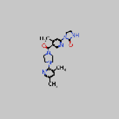 Cc1cnc(N2CCN(C(=O)c3cnc(N4CCNC4=O)cc3C)CC2)c(C)c1